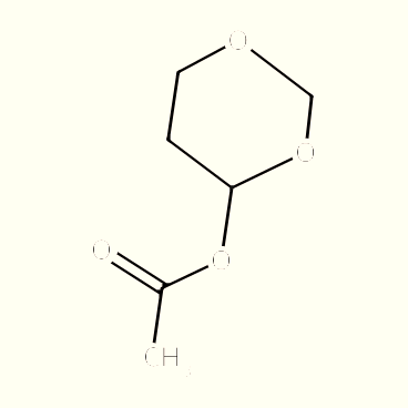 CC(=O)OC1CCOCO1